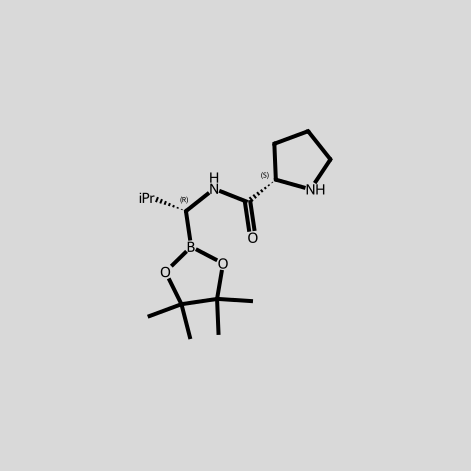 CC(C)[C@H](NC(=O)[C@@H]1CCCN1)B1OC(C)(C)C(C)(C)O1